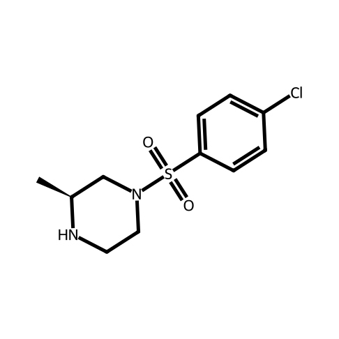 C[C@H]1CN(S(=O)(=O)c2ccc(Cl)cc2)CCN1